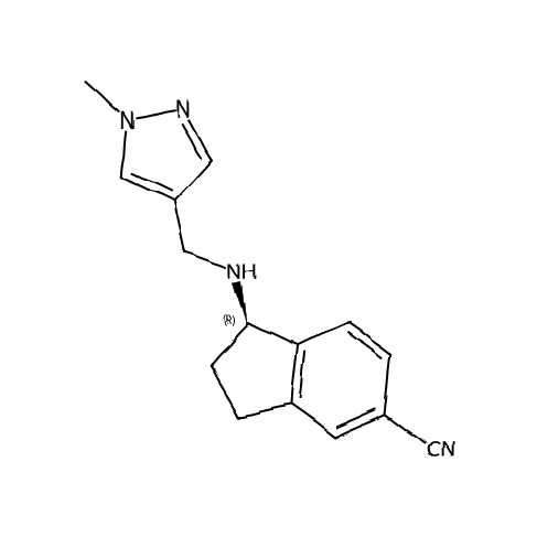 Cn1cc(CN[C@@H]2CCc3cc(C#N)ccc32)cn1